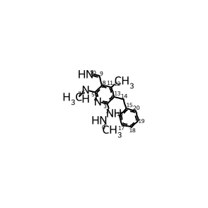 CNNc1nc(NC)c(C=N)c(C)c1Cc1ccccc1